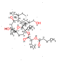 C=C1CC[C@H]([C@@H](C)CO)[C@@H]2[C@H]1C(=O)C[C@@](C)(O)[C@H]1CC[C@@](C)(OC(=O)C(CC)OC(=O)CCC)[C@@H]2O1